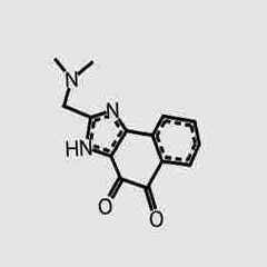 CN(C)Cc1nc2c([nH]1)C(=O)C(=O)c1ccccc1-2